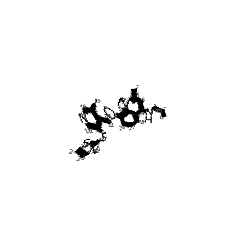 C/C=C\Nc1cc(C)nc2c(OCc3c(I)cncc3Sc3nccs3)cccc12